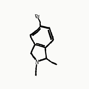 CC1c2ccc(Br)cc2CN1C